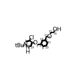 CC(C)(C)N1C=C(Cl)C(OCc2cccc(COCCO)c2)=CN1